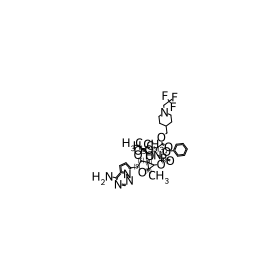 CC(=O)O[C@H]1[C@H](c2ccc3c(N)ncnn23)O[C@]2(C)C(O[P@](=O)(N[C@@H](C)C(=O)OCC3CCN(CC(F)(F)F)CC3)Oc3ccccc3)[C@]12OC(C)=O